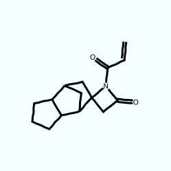 C=CC(=O)N1C(=O)CC12CC1CC2C2CCCC12